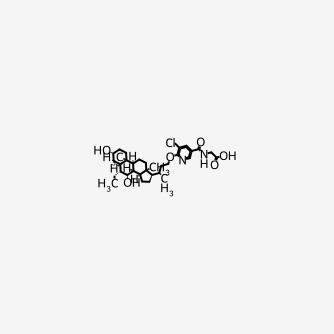 CC[C@H]1[C@@H](O)[C@@H]2[C@H](CC[C@]3(C)[C@@H]([C@H](C)CCOc4ncc(C(=O)NCC(=O)O)cc4Cl)CC[C@@H]23)[C@@]2(C)CC[C@@H](O)C[C@@H]12